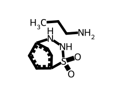 CCCN.O=S1(=O)NNc2ccc1cc2